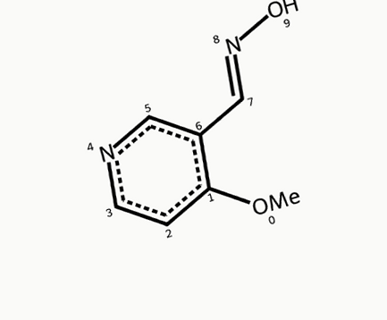 COc1ccncc1C=NO